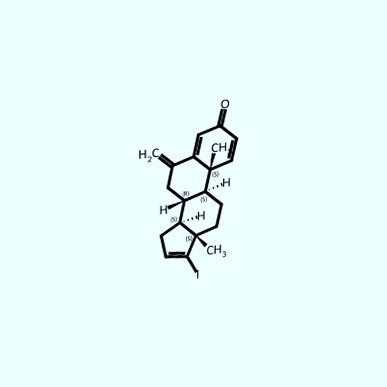 C=C1C[C@@H]2[C@H](CC[C@]3(C)C(I)=CC[C@@H]23)[C@@]2(C)C=CC(=O)C=C12